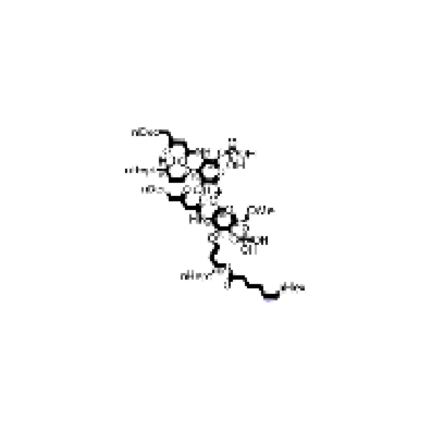 CCCCCC/C=C\CCCC(=O)O[C@H](CCCCCCC)CCO[C@@H]1[C@@H](NC(=O)CC(=O)CCCCCCCCCCC)[C@H](OC[C@H]2O[C@H](OP(=O)(O)O)[C@H](NC(=O)CC(=O)CCCCCCCCCCC)[C@@H](OCC[C@H](O)CCCCCCC)[C@@H]2O)O[C@H](COC)[C@H]1OP(=O)(O)O